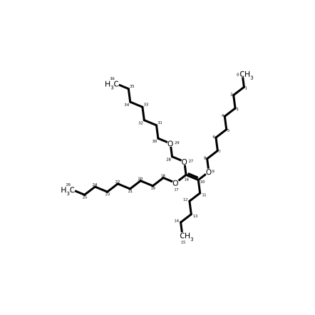 CCCCCCCCCOC(CCCCC)=C(OCCCCCCCCC)OCOCCCCCCC